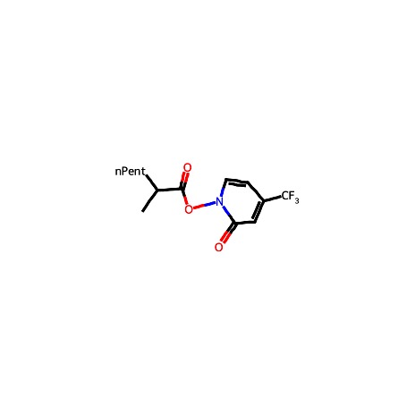 CCCCCC(C)C(=O)On1ccc(C(F)(F)F)cc1=O